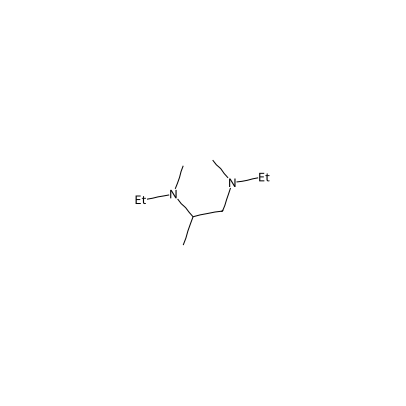 CCN(C)CC(C)N(C)CC